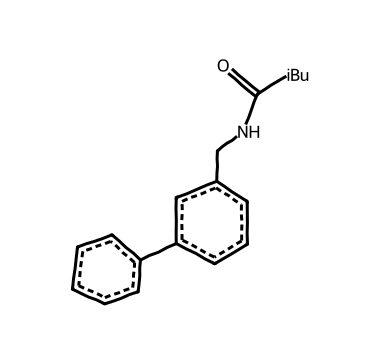 CCC(C)C(=O)NCc1cccc(-c2ccccc2)c1